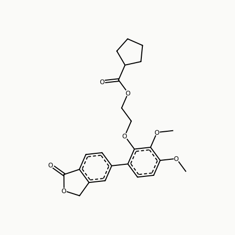 COc1ccc(-c2ccc3c(c2)COC3=O)c(OCCOC(=O)C2CCCC2)c1OC